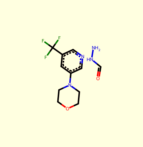 FC(F)(F)c1cncc(N2CCOCC2)c1.NNC=O